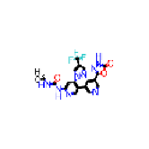 CCNC(=O)Nc1cc(-n2cc(C(F)(F)F)cn2)c(-c2cncc(-c3n[nH]c(=O)o3)c2)cn1